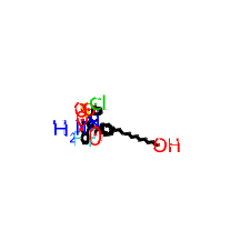 Cc1c(F)ccc(F)c1-c1c(C(N)=O)c(C(CS(C)(=O)=O)c2cccc(Cl)c2)n(C)c1C(=O)c1ccc(CCCCCCCCCCO)cc1